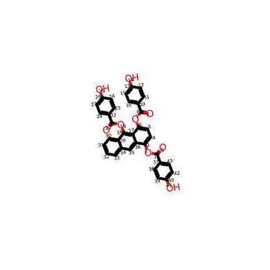 O=C(Oc1ccc(OC(=O)c2ccc(O)cc2)c2c(OC(=O)c3ccc(O)cc3)c3ccccc3cc12)c1ccc(O)cc1